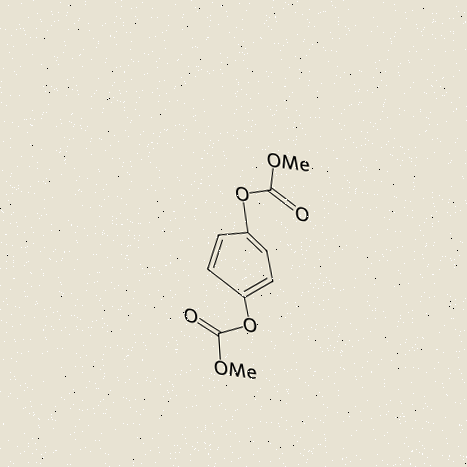 COC(=O)Oc1ccc(OC(=O)OC)cc1